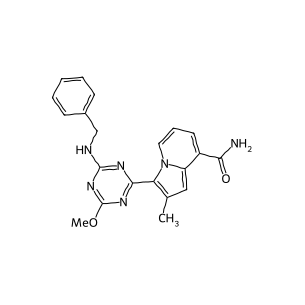 COc1nc(NCc2ccccc2)nc(-c2c(C)cc3c(C(N)=O)cccn23)n1